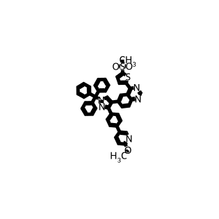 COc1ccc(-c2ccc(-c3nn(C(c4ccccc4)(c4ccccc4)c4ccccc4)cc3-c3ccc4ncnc(-c5ccc(S(C)(=O)=O)s5)c4c3)cc2)cn1